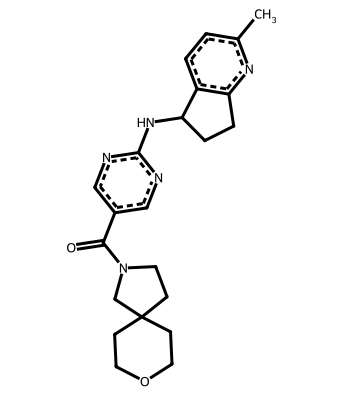 Cc1ccc2c(n1)CCC2Nc1ncc(C(=O)N2CCC3(CCOCC3)C2)cn1